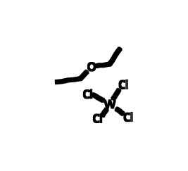 CCOCC.[Cl][W]([Cl])([Cl])[Cl]